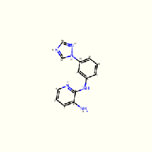 Nc1cccnc1Nc1cccc(-n2cncn2)c1